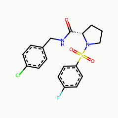 O=C(NCc1ccc(Cl)cc1)[C@@H]1CCCN1S(=O)(=O)c1ccc(F)cc1